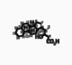 C[C@H](C(O)CC(=O)O)[C@H]1CC[C@H]2[C@@H]3CCC4CCCC[C@]4(C)[C@H]3CC[C@]12C